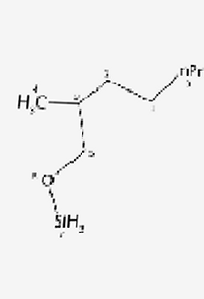 CCCCCC(C)CO[SiH3]